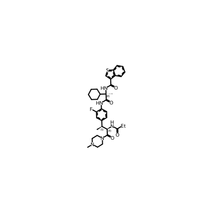 CCC(=O)N[C@@H](C(=O)N1CCN(C)CC1)[C@@H](C)c1ccc(NC(=O)[C@](C)(NC(=O)c2csc3ccccc23)C2CCCCC2)c(F)c1